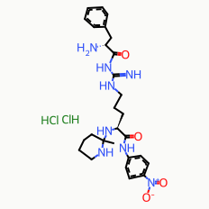 CC1(N[C@@H](CCCNC(=N)NC(=O)[C@H](N)Cc2ccccc2)C(=O)Nc2ccc([N+](=O)[O-])cc2)CCCCN1.Cl.Cl